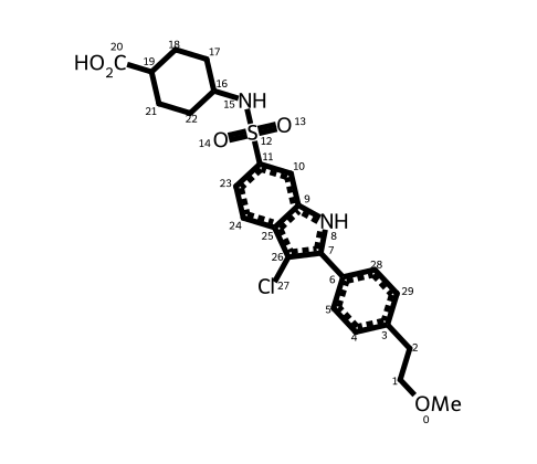 COCCc1ccc(-c2[nH]c3cc(S(=O)(=O)NC4CCC(C(=O)O)CC4)ccc3c2Cl)cc1